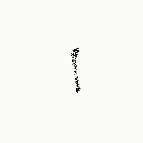 Cc1ccc(S(=O)(=O)CCOCCOCCOCCOCCOCCN=[N+]=[N-])cc1